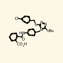 CCCCc1nnc(SCc2ccc(Cl)cc2)n1Cc1ccc(NC(=O)c2ccccc2C(=O)O)cc1